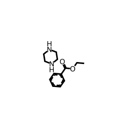 C1CNCCN1.CCOC(=O)c1ccccc1